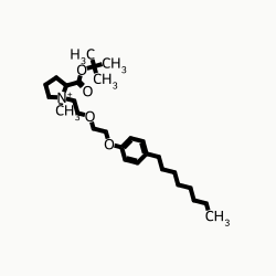 CCCCCCCCc1ccc(OCCOCC[N+]2(C)CCCC2C(=O)OC(C)(C)C)cc1